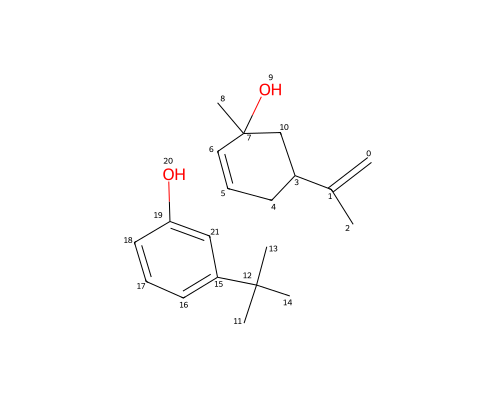 C=C(C)C1CC=CC(C)(O)C1.CC(C)(C)c1cccc(O)c1